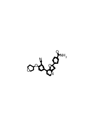 N#Cc1cc(-c2ccnc3cc(-c4ccc(C(N)=O)cc4)oc23)ccc1OC1CCOCC1